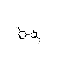 OCc1cnn(-c2cc(Cl)ccn2)c1